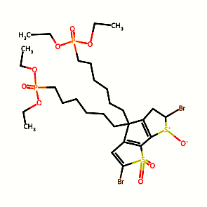 CCOP(=O)(CCCCCCC1(CCCCCCP(=O)(OCC)OCC)C2=C(C3=C1CC(Br)[S+]3[O-])S(=O)(=O)C(Br)=C2)OCC